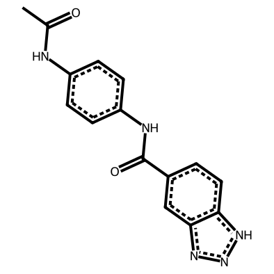 CC(=O)Nc1ccc(NC(=O)c2ccc3[nH]nnc3c2)cc1